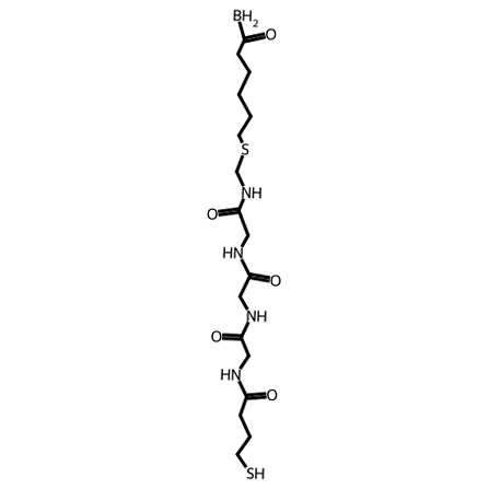 BC(=O)CCCCCSCNC(=O)CNC(=O)CNC(=O)CNC(=O)CCCS